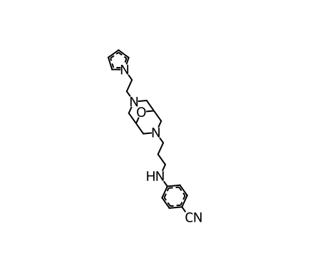 N#Cc1ccc(NCCCN2CC3CN(CCn4cccc4)CC(C2)O3)cc1